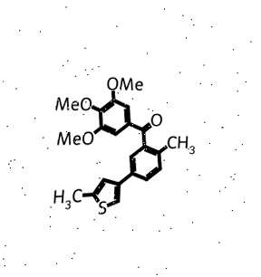 COc1cc(C(=O)c2cc(-c3csc(C)c3)ccc2C)cc(OC)c1OC